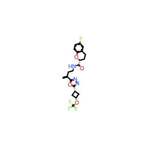 C=C(CCNC(=O)[C@H]1CCc2cc(F)ccc2O1)c1nnc([C@H]2C[C@@H](OC(F)(F)F)C2)o1